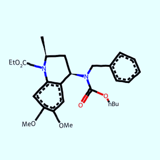 CCCCOC(=O)N(Cc1ccccc1)[C@@H]1C[C@H](C)N(C(=O)OCC)c2cc(OC)c(OC)cc21